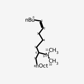 CCCC/C=C\CCCC(CCCCCCCCC)N(C)C